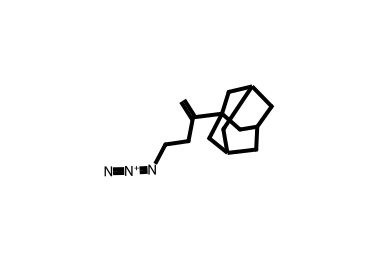 C=C(CCN=[N+]=[N-])C12CC3CC(CC(C3)C1)C2